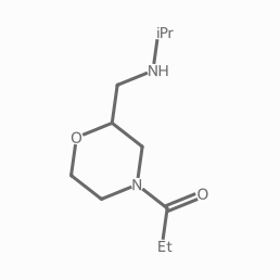 CCC(=O)N1CCOC(CNC(C)C)C1